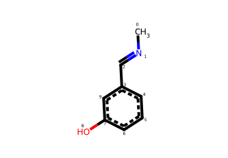 C/N=C/c1cccc(O)c1